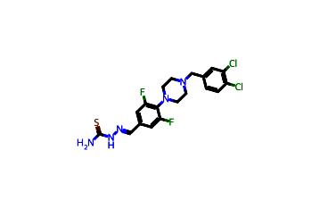 NC(=S)NN=Cc1cc(F)c(N2CCN(Cc3ccc(Cl)c(Cl)c3)CC2)c(F)c1